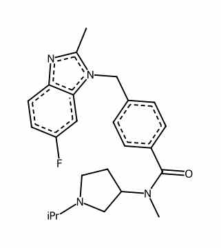 Cc1nc2ccc(F)cc2n1Cc1ccc(C(=O)N(C)C2CCN(C(C)C)C2)cc1